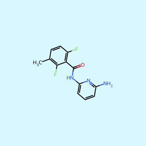 Cc1ccc(F)c(C(=O)Nc2cccc(N)n2)c1F